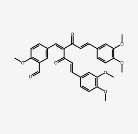 COc1ccc(C=C(C(=O)/C=C/c2ccc(OC)c(OC)c2)C(=O)/C=C/c2ccc(OC)c(OC)c2)cc1C=O